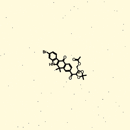 CC(=O)OC[C@H]1OC(C)(C)OC1C(=O)c1ccc2c(c1)C(C)(C)c1[nH]c3cc(Br)ccc3c1C2=O